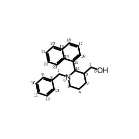 OCC1CCCN(Cc2ccccc2)C1c1cccc2ccccc12